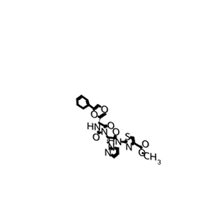 COC(=O)c1csc(NC(=O)[C@H](Cn2cccn2)N2C(=O)N[C@H](C3=COC=C(C4=CC=CCC4)O3)C2=O)n1